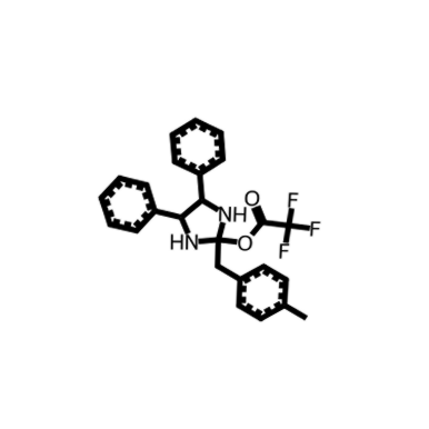 Cc1ccc(CC2(OC(=O)C(F)(F)F)NC(c3ccccc3)C(c3ccccc3)N2)cc1